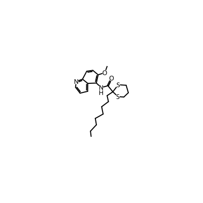 CCCCCCCCC1(C(=O)Nc2c(OC)ccc3ncccc23)SCCCS1